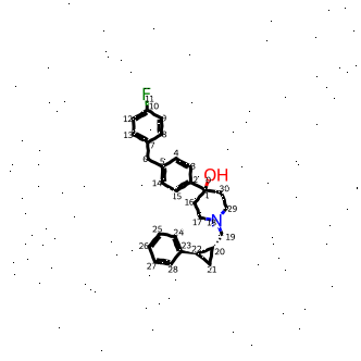 OC1(c2ccc(Cc3ccc(F)cc3)cc2)CCN(C[C@@H]2C[C@H]2c2ccccc2)CC1